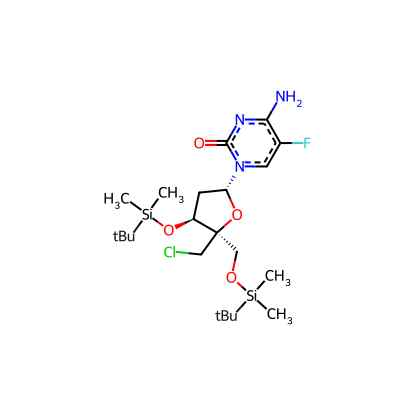 CC(C)(C)[Si](C)(C)OC[C@@]1(CCl)O[C@@H](n2cc(F)c(N)nc2=O)C[C@@H]1O[Si](C)(C)C(C)(C)C